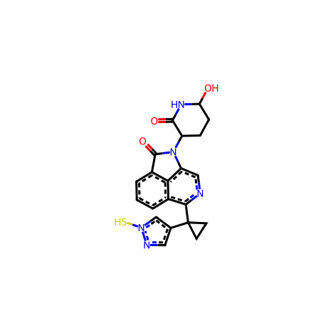 O=C1NC(O)CCC1N1C(=O)c2cccc3c(C4(c5cnn(S)c5)CC4)ncc1c23